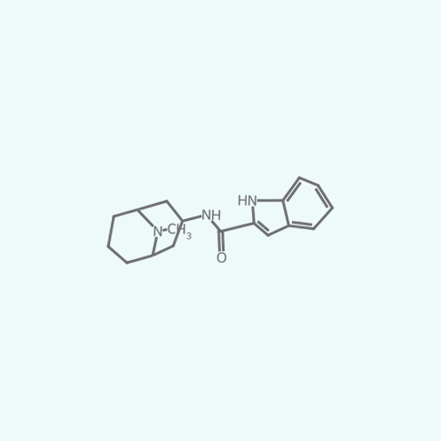 CN1C2CCCC1CC(NC(=O)c1cc3ccccc3[nH]1)C2